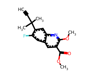 C#CC(C)(C)c1cc2nc(OC)c(C(=O)OC)cc2cc1F